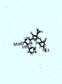 CCOc1cc(F)c(Cn2nc(-c3ncc(OC)c(Nc4ccnnc4)n3)c(C)c2C2CC2)c(F)c1